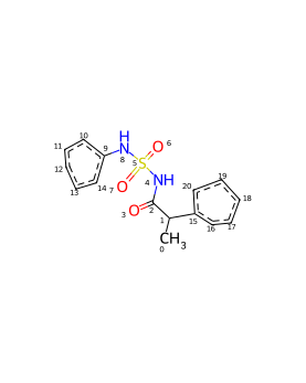 CC(C(=O)NS(=O)(=O)Nc1ccccc1)c1ccccc1